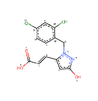 O=C(O)C=Cc1cc(O)nn1Cc1ccc(Cl)cc1Cl